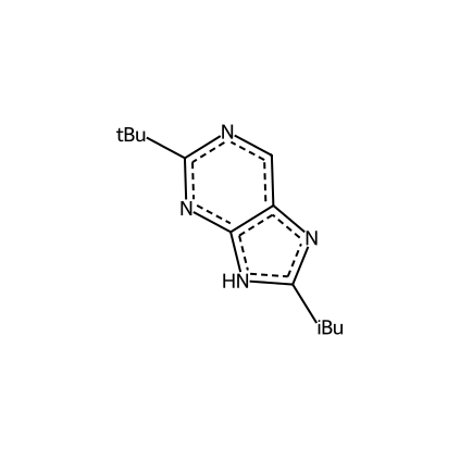 CCC(C)c1nc2cnc(C(C)(C)C)nc2[nH]1